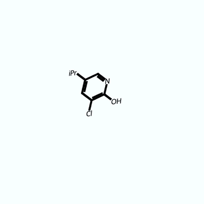 CC(C)c1cnc(O)c(Cl)c1